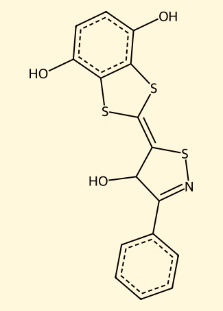 Oc1ccc(O)c2c1SC(=C1SN=C(c3ccccc3)C1O)S2